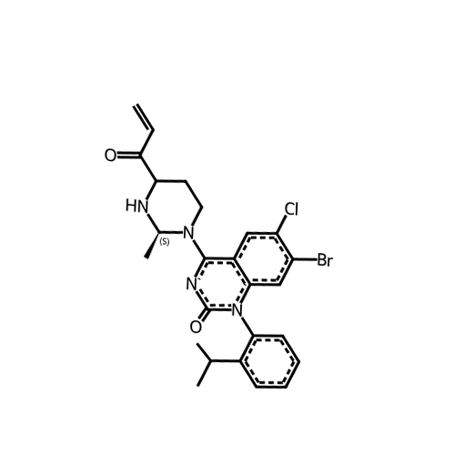 C=CC(=O)C1CCN(c2nc(=O)n(-c3ccccc3C(C)C)c3cc(Br)c(Cl)cc23)[C@@H](C)N1